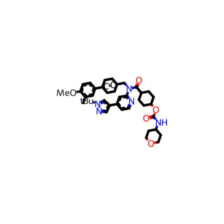 COc1ccc(C23CCC(CN(C(=O)C4CCC(OC(=O)NC5CCOCC5)CC4)c4cc(-c5cnn(C(C)(C)C)c5)ccn4)(CC2)CC3)cc1C